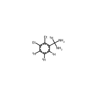 [2H]c1c([2H])c(CC)c(CC)c(C([2H])(N)N)c1[2H]